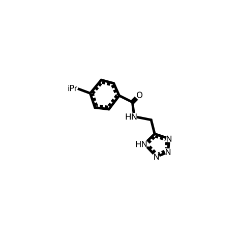 CC(C)c1ccc(C(=O)NCc2nnn[nH]2)cc1